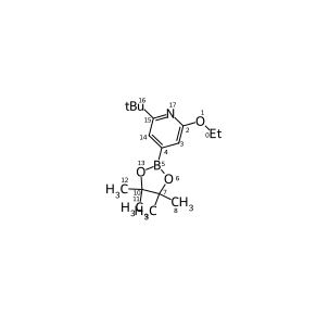 CCOc1cc(B2OC(C)(C)C(C)(C)O2)cc(C(C)(C)C)n1